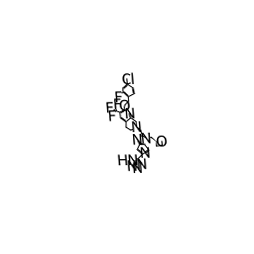 Fc1cc(Cl)ccc1COc1nc2c(cc1C(F)(F)F)CCN(Cc1nc3cc(-c4nnn[nH]4)ncc3n1C[C@@H]1CCO1)C2